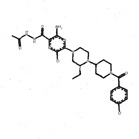 CC[C@H]1CN(c2nc(N)c(C(=O)NNC(C)=O)nc2Cl)CCN1C1CCN(C(=O)c2ccc(Cl)cc2)CC1